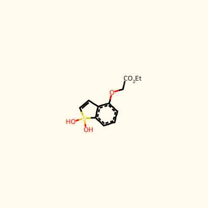 CCOC(=O)COc1cccc2c1C=CS2(O)O